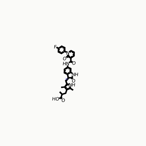 Cc1[nH]c(/C=C2\C(=O)Nc3cc(NC(=O)c4cccn(-c5ccc(F)cc5)c4=O)ccc32)c(C)c1CC(C)C(=O)O